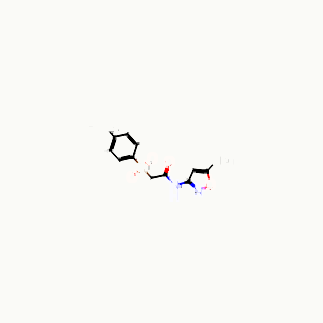 CC(C)(C)c1cc(NC(=O)CS(=O)(=O)c2ccc(C(F)(F)F)cc2)no1